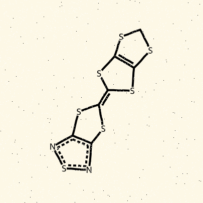 C1SC2=C(S1)SC(=C1Sc3nsnc3S1)S2